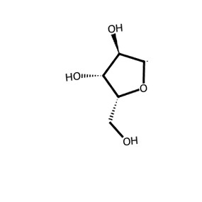 OC[C@H]1O[CH][C@H](O)[C@H]1O